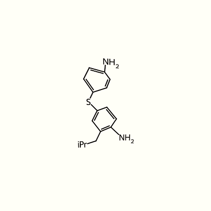 CC(C)Cc1cc(Sc2ccc(N)cc2)ccc1N